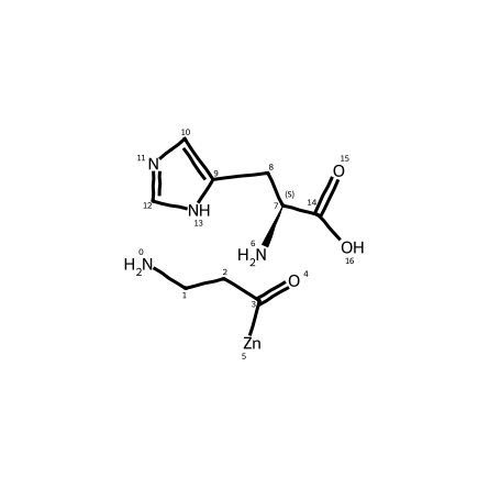 NCC[C](=O)[Zn].N[C@@H](Cc1cnc[nH]1)C(=O)O